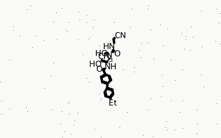 CCc1ccc(-c2ccc(C(=O)N[C@H](CN(O)C(=O)NCCC#N)[C@@H](C)O)cc2)cc1